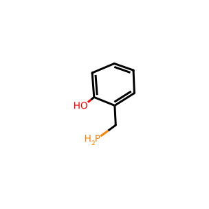 Oc1ccccc1CP